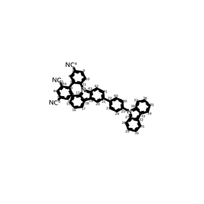 N#Cc1ccc(-c2cc(C#N)ccc2-n2c3ccccc3c3cc(-c4ccc(-n5c6ccccc6c6ccccc65)cc4)ccc32)c(C#N)c1